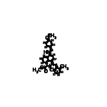 COC(=O)C[C@H](C)N(Cc1ccccc1C)c1ccc(NSc2ccc(OC)cc2)c2ccccc12